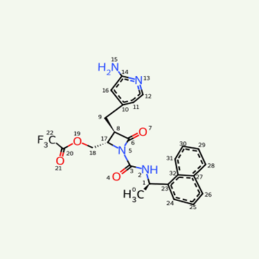 C[C@@H](NC(=O)N1C(=O)[C@H](Cc2ccnc(N)c2)[C@H]1COC(=O)C(F)(F)F)c1cccc2ccccc12